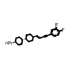 CCC[C@H]1CC[C@H](C2CCC(/C=C/C#Cc3ccc(F)c(F)c3)CC2)CC1